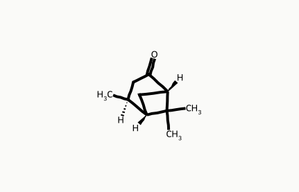 C[C@H]1CC(=O)[C@H]2C[C@@H]1C2(C)C